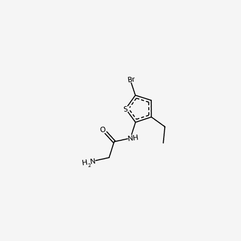 CCc1cc(Br)sc1NC(=O)CN